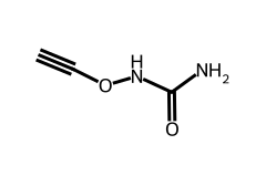 C#CONC(N)=O